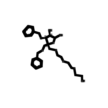 OCCOCCOCCOC[C@]1(COCc2ccccc2)OC(O)[C@H](O)[C@@H]1OCc1ccccc1